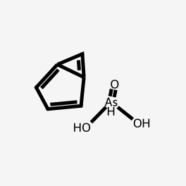 O=[AsH](O)O.c1cc2cc-2c1